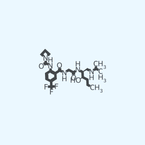 CCC[C@H](O)[C@H](CNC(C)C)NC(=O)CNC(=O)c1cc(C(F)(F)F)ccc1NC(=O)N1CCC1